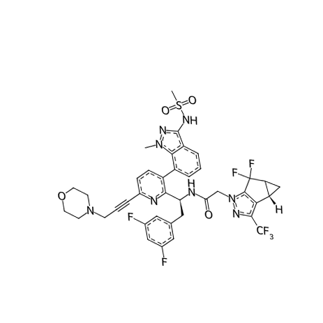 Cn1nc(NS(C)(=O)=O)c2cccc(-c3ccc(C#CCN4CCOCC4)nc3[C@H](Cc3cc(F)cc(F)c3)NC(=O)Cn3nc(C(F)(F)F)c4c3C(F)(F)C3C[C@H]43)c21